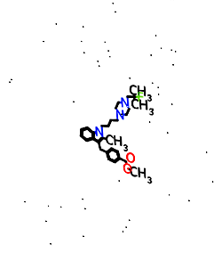 COC(=O)c1ccc(Cc2c(C)n(CCCCN3CCN(CC(C)(C)F)CC3)c3ccccc23)cc1